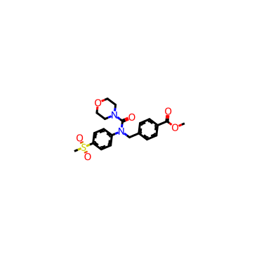 COC(=O)c1ccc(CN(C(=O)N2CCOCC2)c2ccc(S(C)(=O)=O)cc2)cc1